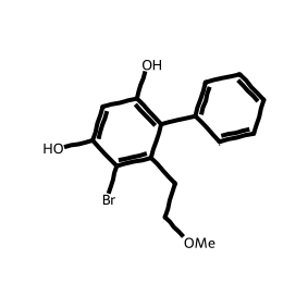 COCCc1c(Br)c(O)cc(O)c1-c1[c]cccc1